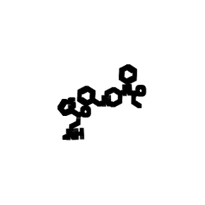 CCC(=O)N(c1ccccc1)C1CCN(Cc2ccccc2O[C@@H](CCNC)c2cccs2)CC1